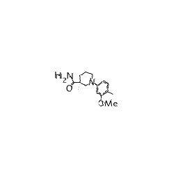 COc1cc(N2CCC[C@](C)(C(N)=O)C2)ccc1C